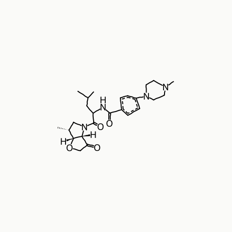 CC(C)CC(NC(=O)c1ccc(N2CCN(C)CC2)cc1)C(=O)N1C[C@@H](C)[C@H]2OCC(=O)[C@H]21